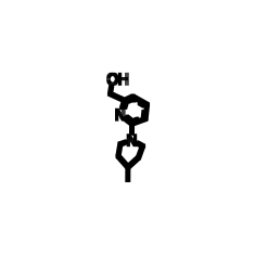 CC1CCN(c2cccc(CO)n2)CC1